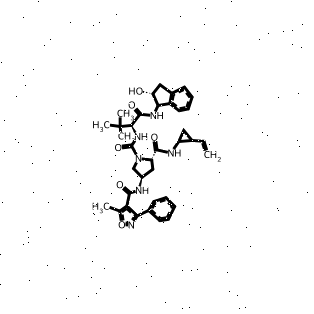 C=CC1CC1NC(=O)[C@@H]1C[C@@H](NC(=O)c2c(-c3ccccc3)noc2C)CN1C(=O)N[C@H](C(=O)NC1c2ccccc2C[C@H]1O)C(C)(C)C